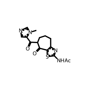 CC(=O)Nc1nc2c(s1)C(=O)C(C(=O)c1cncn1C)CCC2